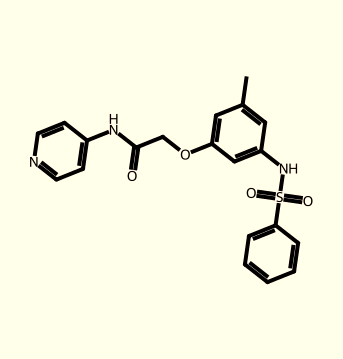 Cc1cc(NS(=O)(=O)c2ccccc2)cc(OCC(=O)Nc2ccncc2)c1